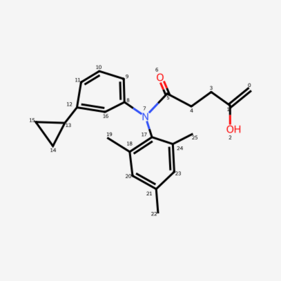 C=C(O)CCC(=O)N(c1cccc(C2CC2)c1)c1c(C)cc(C)cc1C